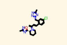 C=C(/C=C/c1ccc(Cl)cc1Cn1nnc(C)n1)N1CCCC[C@@H]1c1nc(C)no1